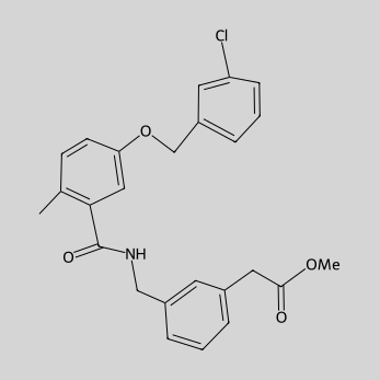 COC(=O)Cc1cccc(CNC(=O)c2cc(OCc3cccc(Cl)c3)ccc2C)c1